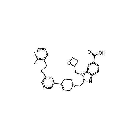 Cc1ncccc1COc1cccc(C2=CCN(Cc3nc4ccc(C(=O)O)cc4n3C[C@@H]3CCO3)CC2)n1